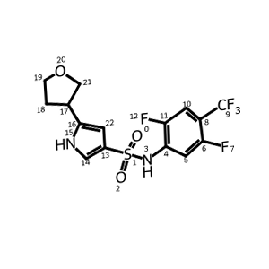 O=S(=O)(Nc1cc(F)c(C(F)(F)F)cc1F)c1c[nH]c(C2CCOC2)c1